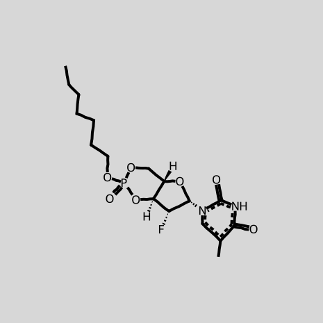 CCCCCCCOP1(=O)OC[C@@H]2O[C@H](n3cc(C)c(=O)[nH]c3=O)[C@H](F)[C@H]2O1